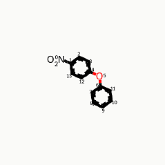 O=[N+]([O-])c1ccc(Oc2c[c]ccc2)cc1